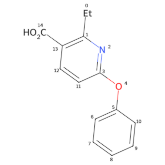 CCc1nc(Oc2ccccc2)ccc1C(=O)O